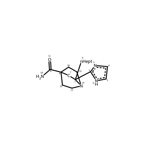 CCCCCCCC1(c2ncc[nH]2)CC2(C(N)=O)CCN1CC2